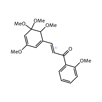 COC1=CC(OC)(OC)C(OC)C(/C=C/C(=O)c2ccccc2OC)=C1